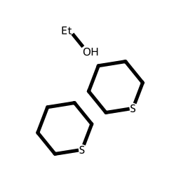 C1CCSCC1.C1CCSCC1.CCO